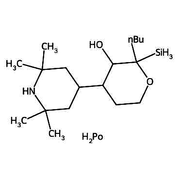 CCCCC1([SiH3])OCCC(C2CC(C)(C)NC(C)(C)C2)C1O.[PoH2]